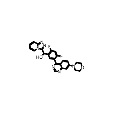 OC(c1cc(-c2ncnc3cc(N4CCOCC4)ccc23)c(F)cc1F)c1nnc2ccccn12